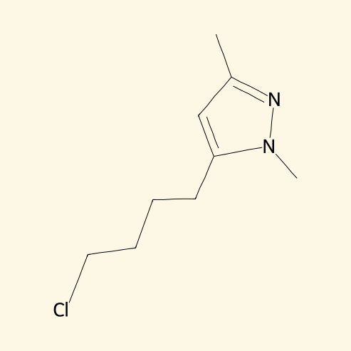 Cc1cc(CCCCCl)n(C)n1